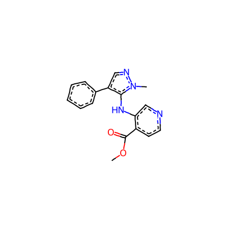 COC(=O)c1ccncc1Nc1c(-c2ccccc2)cnn1C